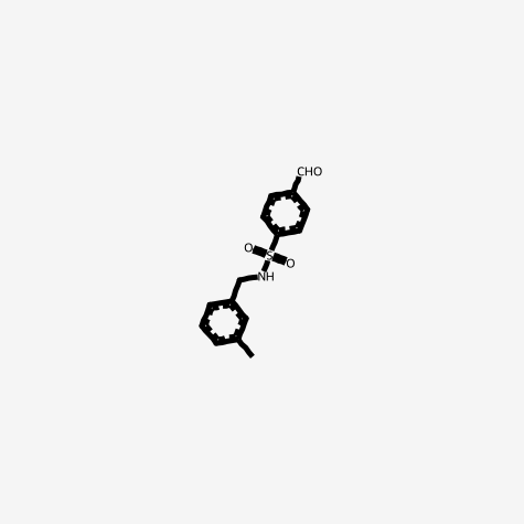 Cc1cccc(CNS(=O)(=O)c2ccc(C=O)cc2)c1